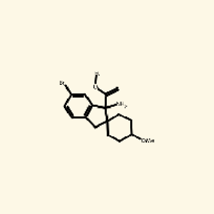 C=C(OCC)C1(N)c2cc(Br)ccc2CC12CCC(OC)CC2